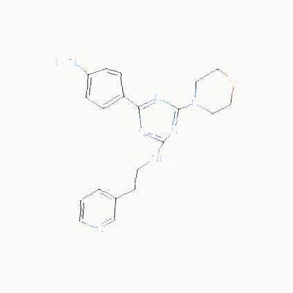 Nc1ccc(-c2nc(NCCc3cccnc3)nc(N3CCOCC3)n2)cc1